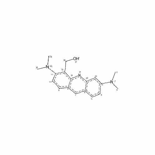 CN(C)c1ccc2cc3ccc(N(C)C)c(CO)c3nc2c1